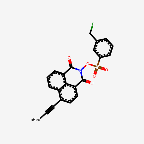 CCCCCCC#Cc1ccc2c3c(cccc13)C(=O)N(OS(=O)(=O)c1cccc(CF)c1)C2=O